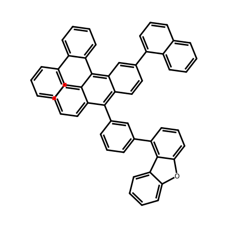 c1ccc(-c2ccccc2-c2c3ccccc3c(-c3cccc(-c4cccc5oc6ccccc6c45)c3)c3ccc(-c4cccc5ccccc45)cc23)cc1